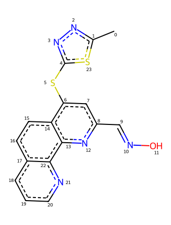 Cc1nnc(Sc2cc(C=NO)nc3c2ccc2cccnc23)s1